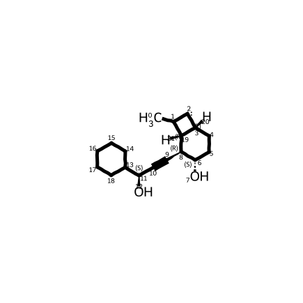 CC1[C][C@@H]2CC[C@H](O)[C@@H](C#C[C@@H](O)C3CCCCC3)[C@H]12